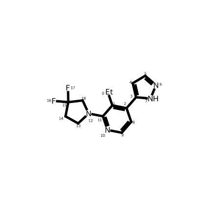 CCc1c(-c2ccn[nH]2)ccnc1N1CCC(F)(F)C1